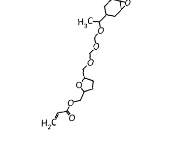 C=CC(=O)OCC1CCC(COCOCOC(C)C2CCC3OC3C2)O1